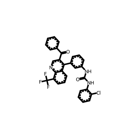 O=C(Nc1cccc(-c2c(C(=O)c3ccccc3)cnc3c(C(F)(F)F)cccc23)c1)Nc1ccccc1Cl